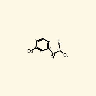 CCc1cccc(N(C)[S+]([O-])Br)c1